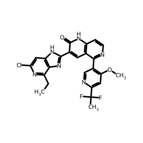 CCc1nc(Cl)cc2[nH]c(-c3cc4c(-c5cnc(C(C)(F)F)cc5OC)nccc4[nH]c3=O)nc12